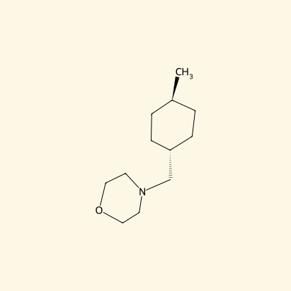 C[C@H]1CC[C@H](CN2CCOCC2)CC1